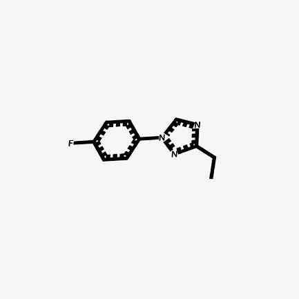 CCc1ncn(-c2ccc(F)cc2)n1